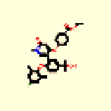 CCOC(=O)[C@H]1CC[C@H](Oc2cc(=O)n(C)cc2-c2cc(C(C)(C)O)ccc2Oc2c(C)cc(F)cc2C)CC1